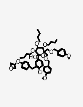 CCCCOC1[C@@H](OCCCC)[C@H](OCCCC)C(COCc2ccc(OC)cc2)(COCc2ccc(OC)cc2)OC1(O)c1ccc(Cl)c(Cc2ccc(OC3COC3)cc2)c1